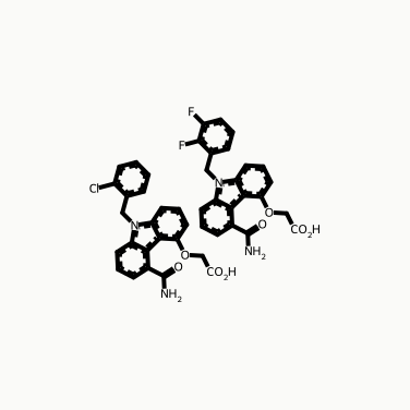 NC(=O)c1cccc2c1c1c(OCC(=O)O)cccc1n2Cc1cccc(F)c1F.NC(=O)c1cccc2c1c1c(OCC(=O)O)cccc1n2Cc1ccccc1Cl